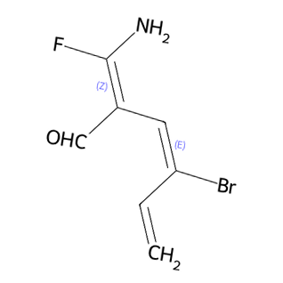 C=C/C(Br)=C\C(C=O)=C(/N)F